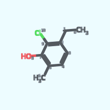 C[CH]c1ccc(C)c(O)c1Cl